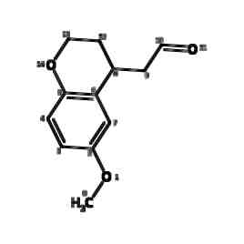 COc1ccc2c(c1)C(CC=O)CCO2